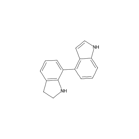 c1cc2c(c(-c3cccc4[nH]ccc34)c1)NCC2